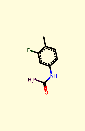 Cc1ccc(NC(=O)P)cc1F